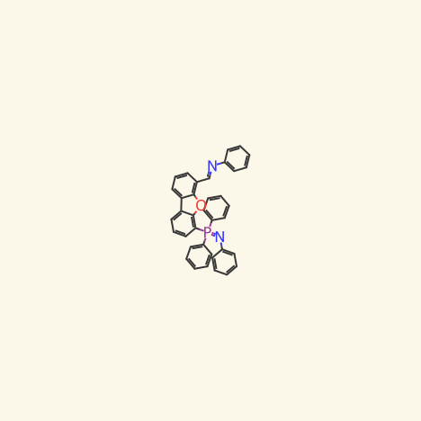 C(=N\c1ccccc1)/c1cccc2c1oc1c(P(=Nc3ccccc3)(c3ccccc3)c3ccccc3)cccc12